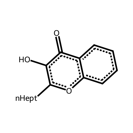 CCCCCCCc1oc2ccccc2c(=O)c1O